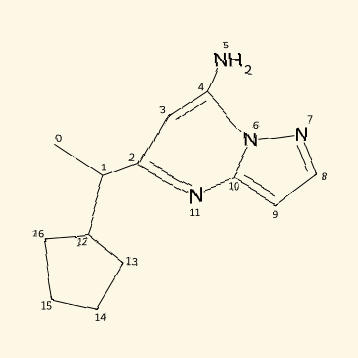 CC(c1cc(N)n2nccc2n1)C1CCCC1